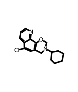 Clc1cc2c(c3ncccc13)OCN(C1CCCCC1)C2